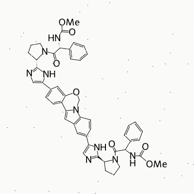 COC(=O)NC(C(=O)N1CCC[C@H]1c1ncc(-c2ccc3c(c2)cc2n3COc3cc(-c4cnc([C@@H]5CCCN5C(=O)[C@H](NC(=O)OC)c5ccccc5)[nH]4)ccc3-2)[nH]1)c1ccccc1